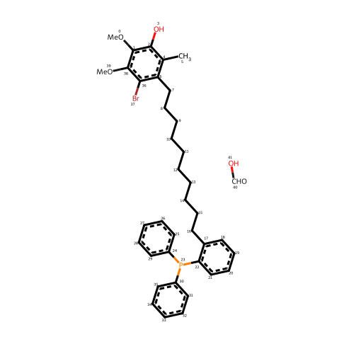 COc1c(O)c(C)c(CCCCCCCCCCc2ccccc2P(c2ccccc2)c2ccccc2)c(Br)c1OC.O=CO